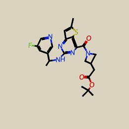 Cc1cc2nc(NC(C)c3cncc(F)c3)nc(C(=O)N3CC(CC(=O)OC(C)(C)C)C3)c2s1